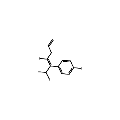 C=CC/C(I)=C(\c1ccc(I)cc1)C(C)I